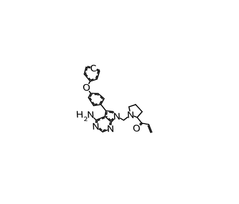 C=CC(=O)C1CCCN1Cn1cc(-c2ccc(Oc3ccccc3)cc2)c2c(N)ncnc21